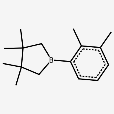 Cc1cccc(B2CC(C)(C)C(C)(C)C2)c1C